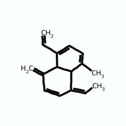 C=CC1=CC=C(C)C2/C(=C\C)C=CC(=C)C12